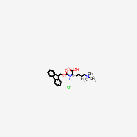 C[N+](C)(C)CCCC[C@H](NC(=O)OCC1c2ccccc2-c2ccccc21)C(=O)O.[Cl-]